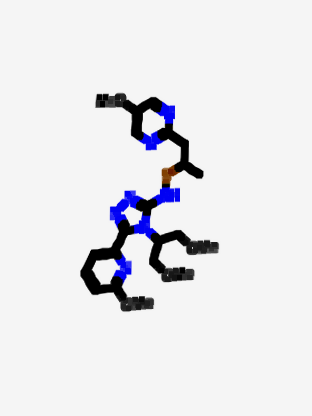 COCC(COC)n1c(NSC(C)Cc2ncc(OC)cn2)nnc1-c1cccc(OC)n1